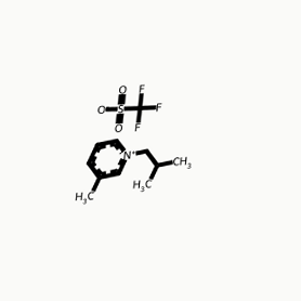 Cc1ccc[n+](CC(C)C)c1.O=S(=O)([O-])C(F)(F)F